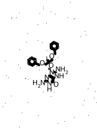 Nc1nc2c(c(=O)[nH]1)NC(N)N2COC(I)(COCc1ccccc1)COCc1ccccc1